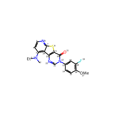 CCN(C)c1ccnc2sc3c(=O)n(-c4ccc(OC)c(F)c4)cnc3c12